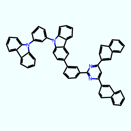 c1cc(-c2ccc3c(c2)c2ccccc2n3-c2cccc(-n3c4ccccc4c4ccccc43)c2)cc(-c2nc(-c3ccc4ccccc4c3)cc(-c3ccc4ccccc4c3)n2)c1